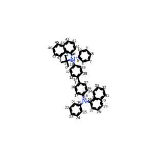 CC(C)(C)[N+](c1ccccc1)(c1ccc(-c2ccc(N(c3ccccc3)c3cccc4ccccc34)cc2)cc1)c1cccc2ccccc12